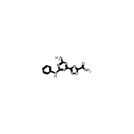 NC(=O)c1nc(-c2nc(N)nc(Nc3ccccc3)n2)no1